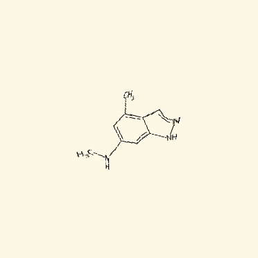 CNc1cc(C)c2cn[nH]c2c1